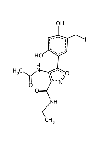 CCNC(=O)c1noc(-c2cc(CI)c(O)cc2O)c1NC(C)=O